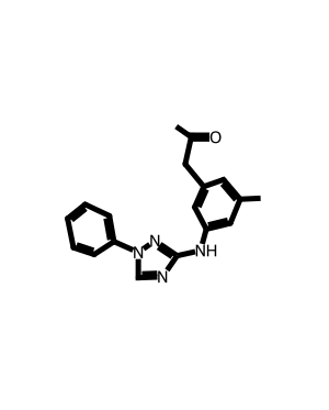 CC(=O)Cc1cc(C)cc(Nc2ncn(-c3ccccc3)n2)c1